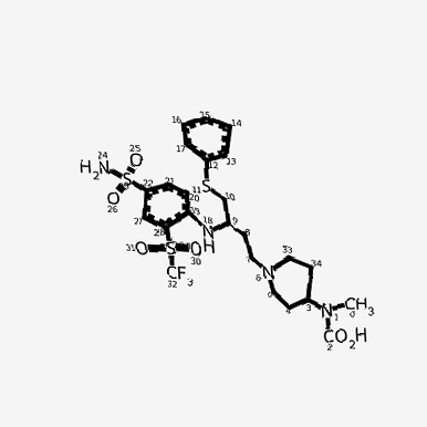 CN(C(=O)O)C1CCN(CC[C@H](CSc2ccccc2)Nc2ccc(S(N)(=O)=O)cc2S(=O)(=O)C(F)(F)F)CC1